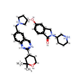 CC1(C)C[C@@H](c2ncc3cc(CN4CC[C@H](Oc5ccc6c(c5)CN(C5CCCNC5)C6=O)C4)ccc3n2)CCO1